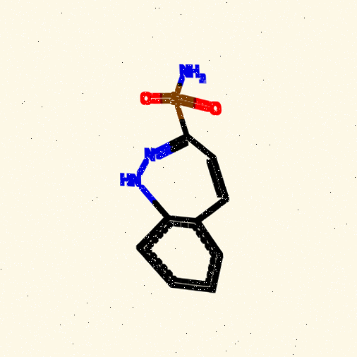 NS(=O)(=O)C1=NNc2ccccc2C=C1